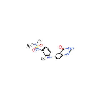 CCN(C)S(=O)(=O)Nc1cccc(Nc2ccc3nc[nH]c(=O)c3c2)c1C#N